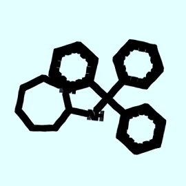 c1ccc(C(NC2CCCCCN2)(c2ccccc2)c2ccccc2)cc1